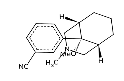 CO[C@@]1(c2cccc(C#N)c2)[C@@H]2CCC[C@H]1CN(C)C2